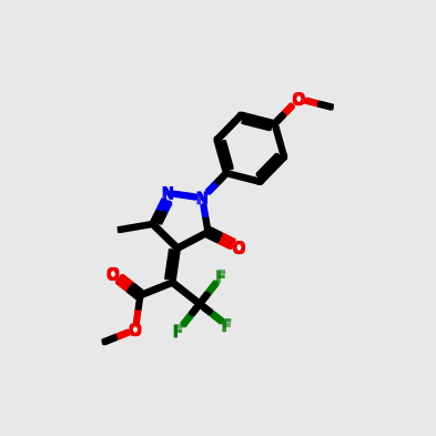 COC(=O)C(=C1C(=O)N(c2ccc(OC)cc2)N=C1C)C(F)(F)F